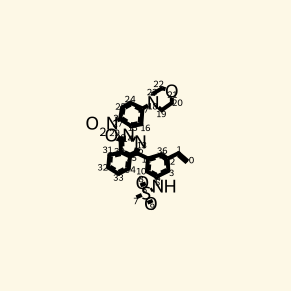 C=Cc1cc(NS(C)(=O)=O)cc(-c2nn(-c3cc(N4CCOCC4)ccc3[N+](=O)[O-])c(=O)c3ccccc23)c1